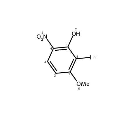 COc1ccc([N+](=O)[O-])c(O)c1I